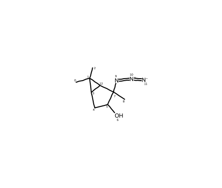 CC1(C)C2CC(O)C(C)(N=[N+]=[N-])C21